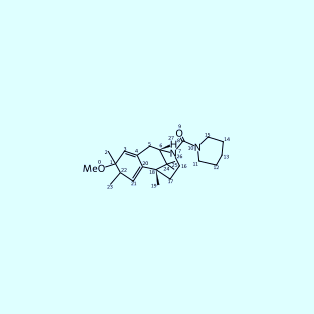 COC1(C)C=C2C[C@@H]3N(C(=O)N4CCCCC4)CC[C@](C)(C2=CC1C)C3(C)C